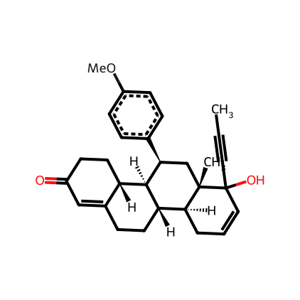 CC#CC1(O)C=CC[C@H]2[C@@H]3CCC4=CC(=O)CC[C@@H]4[C@H]3[C@@H](c3ccc(OC)cc3)C[C@@]21C